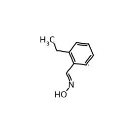 CCc1ccc[c]c1C=NO